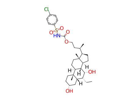 CC[C@H]1[C@@H](O)[C@@H]2[C@H](CC[C@]3(C)[C@@H]([C@H](C)CCOC(=O)NS(=O)(=O)c4ccc(Cl)cc4)CC[C@@H]23)[C@@]2(C)CC[C@@H](O)C[C@@H]12